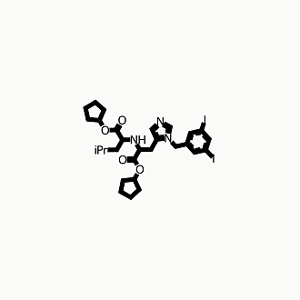 CC(C)CC(NC(Cc1cncn1Cc1cc(I)cc(I)c1)C(=O)OC1CCCC1)C(=O)OC1CCCC1